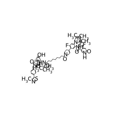 Cc1ncsc1-c1ccc(CNC(=O)[C@@H]2C[C@@H](O)CN2C(=O)C(NC(=O)CCCCCCCC(=O)N2CC=C(c3cc(NC(=O)c4c[nH]c(=O)cc4C(F)(F)F)c(N4C[C@@H](C)N(C)[C@@H](C)C4)cc3F)CC2)C(C)(C)C)cc1